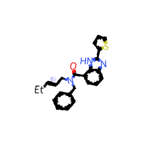 [CH2]C/C=C/CN(Cc1ccccc1)C(=O)c1cccc2nc(-c3cccs3)[nH]c12